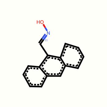 O/N=C/c1c2ccccc2cc2ccccc12